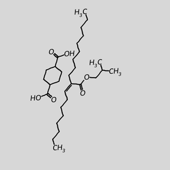 CCCCCCCC=C(CCCCCCCCC)C(=O)OCC(C)C.O=C(O)C1CCC(C(=O)O)CC1